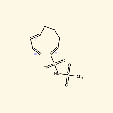 O=S(=O)(NS(=O)(=O)C(F)(F)F)C1=C/CCC/C=C/C=C\1